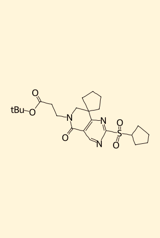 CC(C)(C)OC(=O)CCN1CC2(CCCC2)c2nc(S(=O)(=O)C3CCCC3)ncc2C1=O